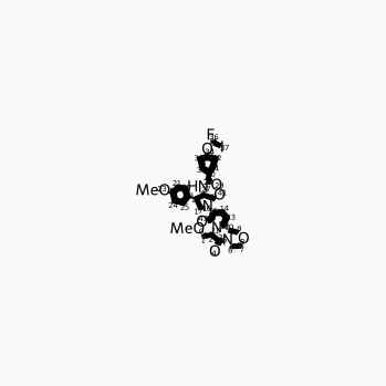 COCC(C(=O)N1CCOCC1)n1cccc(N2C[C@@H](c3ccc(OC)cc3)[C@H](NC(=O)c3ccc(OC(F)I)cc3)C2=O)c1=O